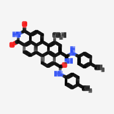 Cc1ccc(NC(=N)c2cc(C(=O)O)c3c4ccc5c6c(ccc(c7ccc(C(=O)Nc8ccc(C)cc8)c2c73)c64)C(=O)NC5=O)cc1